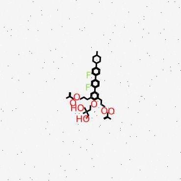 C=C(C)C(=O)OCCCc1cc(-c2ccc(-c3ccc(C4CCC(C)CC4)cc3F)cc2F)cc(CCCOC(=O)C(=C)C)c1OCCC(C)(CO)CO